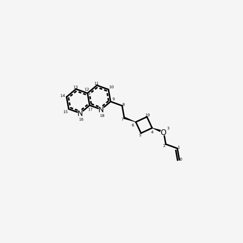 C=CCO[C@H]1C[C@@H](CCc2ccc3cccnc3n2)C1